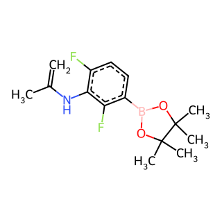 C=C(C)Nc1c(F)ccc(B2OC(C)(C)C(C)(C)O2)c1F